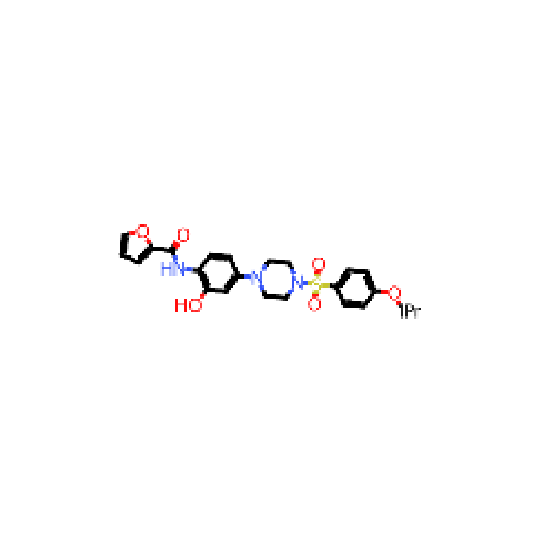 CC(C)Oc1ccc(S(=O)(=O)N2CCN(c3ccc(NC(=O)c4ccco4)c(O)c3)CC2)cc1